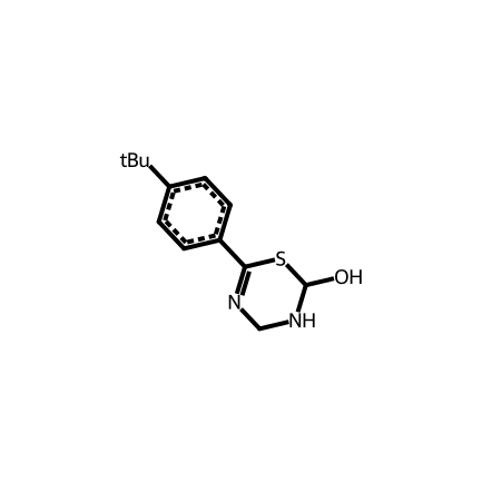 CC(C)(C)c1ccc(C2=NCNC(O)S2)cc1